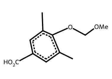 COCOc1c(C)cc(C(=O)O)cc1C